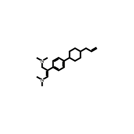 C=CCC1CCC(c2ccc(C(=CN(C)C)CN(C)C)cc2)CC1